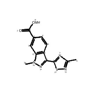 COC(=O)c1ccc2c(-c3nc(C)ns3)nn(C)c2c1